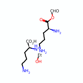 CCO.NCCC[C@H](N)C(=O)O.NCCC[C@H](N)C(=O)OC=O